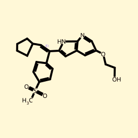 CS(=O)(=O)c1ccc(/C(=C\C2CCCC2)c2cc3cc(OCCO)cnc3[nH]2)cc1